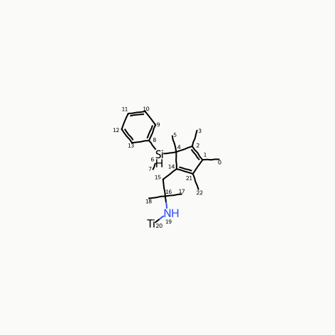 CC1=C(C)C(C)([SiH](C)c2ccccc2)C(CC(C)(C)[NH][Ti])=C1C